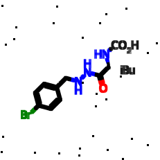 CC[C@H](C)[C@H](NC(=O)O)C(=O)NNCc1ccc(Br)cc1